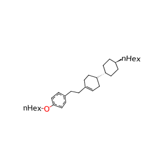 CCCCCCOc1ccc(CCC2=CCC([C@H]3CC[C@H](CCCCCC)CC3)CC2)cc1